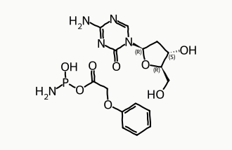 NP(O)OC(=O)COc1ccccc1.Nc1ncn([C@H]2C[C@H](O)[C@@H](CO)O2)c(=O)n1